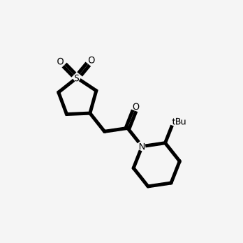 CC(C)(C)C1CCCCN1C(=O)CC1CCS(=O)(=O)C1